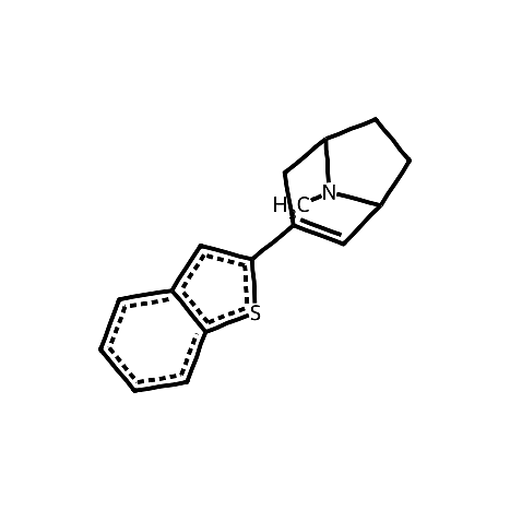 CN1C2C=C(c3cc4ccccc4s3)CC1CC2